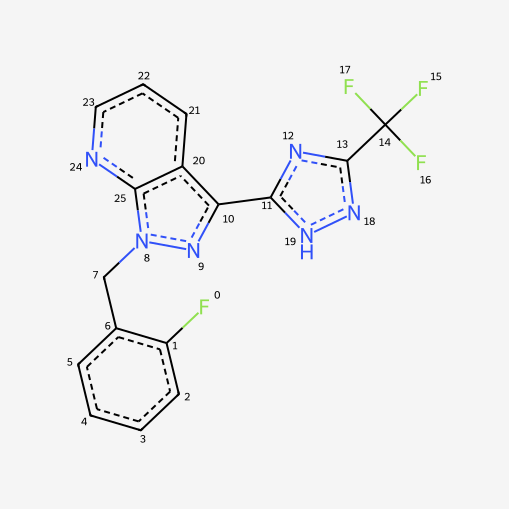 Fc1ccccc1Cn1nc(-c2nc(C(F)(F)F)n[nH]2)c2cccnc21